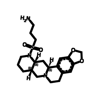 NCCCS(=O)(=O)N1CCC[C@H]2CN3CCc4cc5c(cc4[C@@H]3C[C@H]21)OCO5